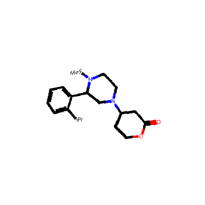 CSN1CCN(C2CCOC(=O)C2)CC1c1ccccc1C(C)C